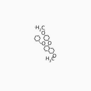 [CH2]COc1ccc(Oc2c(OCc3ccccc3)ccc3cc(OC)ccc23)cc1